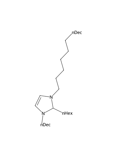 CCCCCCCCCCCCCCCCN1C=CN(CCCCCCCCCC)C1CCCCCC